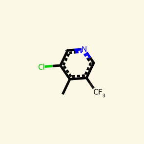 Cc1c(Cl)[c]ncc1C(F)(F)F